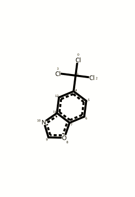 ClC(Cl)(Cl)c1ccc2ocnc2c1